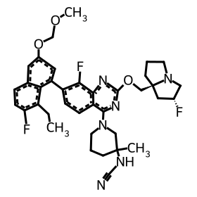 CCc1c(F)ccc2cc(OCOC)cc(-c3ccc4c(N5CCCC(C)(NC#N)C5)nc(OC[C@@]56CCCN5C[C@H](F)C6)nc4c3F)c12